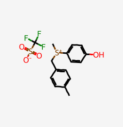 Cc1ccc(C[S+](C)c2ccc(O)cc2)cc1.O=S(=O)([O-])C(F)(F)F